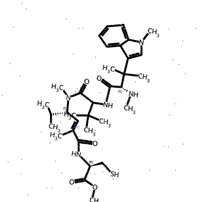 CN[C@H](C(=O)NC(C(=O)N(C)[C@H](/C=C(\C)C(=O)N[C@@H](CS)C(=O)OC)C(C)C)C(C)(C)C)C(C)(C)c1cn(C)c2ccccc12